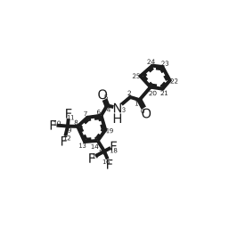 O=C(CNC(=O)c1cc(C(F)(F)F)cc(C(F)(F)F)c1)c1ccccc1